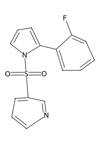 O=S(=O)(c1cccnc1)n1cccc1-c1ccccc1F